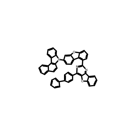 c1ccc(-c2ccc(-c3nc(-c4cccc5oc6cc(-n7c8ccccc8c8c9ccccc9ccc87)ccc6c45)nc4c3oc3ccccc34)cc2)cc1